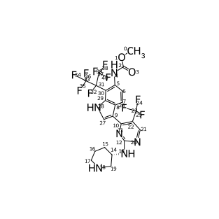 COC(=O)Nc1ccc2c(-c3nc(N[C@H]4CCCNC4)ncc3C(F)(F)F)c[nH]c2c1C(F)(C(F)(F)F)C(F)(F)F